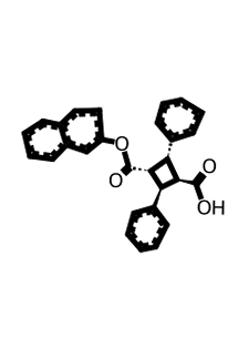 O=C(O)[C@H]1[C@@H](c2ccccc2)[C@H](C(=O)Oc2ccc3ccccc3c2)[C@@H]1c1ccccc1